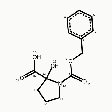 O=C(OCc1ccccc1)N1CCCC1(O)C(=O)O